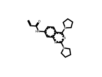 C=CC(=O)Nc1ccc2c(N3CCCC3)nc(N3CCCC3)nc2c1